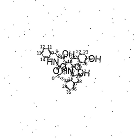 CC(C)(C)OC(=O)NC(Cc1ccccc1)C(O)CC(Cc1ccc(O)cc1)C(=O)N[C@H]1c2ccccc2C[C@@H]1O